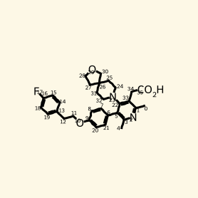 Cc1nc(C)c(-c2ccc(OCCc3ccc(F)cc3)cc2)c(N2CCC3(CCOC3)CC2)c1CC(=O)O